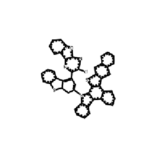 Clc1nc2oc3ccccc3c2nc1C1=C2c3ccccc3SC2CC(n2c3ccccc3c3c4ccccc4c4c5cc6ccccc6cc5sc4c32)=C1